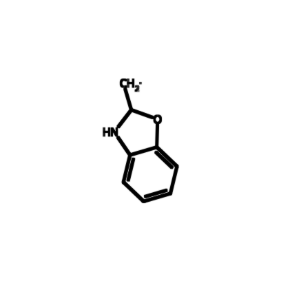 [CH2]C1Nc2ccccc2O1